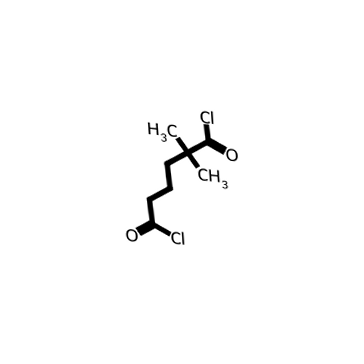 CC(C)(CCCC(=O)Cl)C(=O)Cl